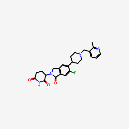 Cc1ncccc1CN1CCC(c2cc3c(cc2F)C(=O)N(C2CCC(=O)NC2=O)C3)CC1